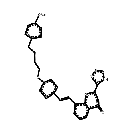 COc1ccc(CCCCOc2ccc(/C=C/c3cccc4c(=O)cc(-c5nnn[nH]5)oc34)cc2)cc1